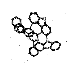 c1ccc(-c2nc(-c3ccccc3)nc(-c3c(-n4c5ccccc5c5ccccc54)ccc4oc5cccc(-c6cccc7sc8ccccc8c67)c5c34)n2)cc1